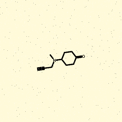 C#CCN(C)C1CCC(=O)CC1